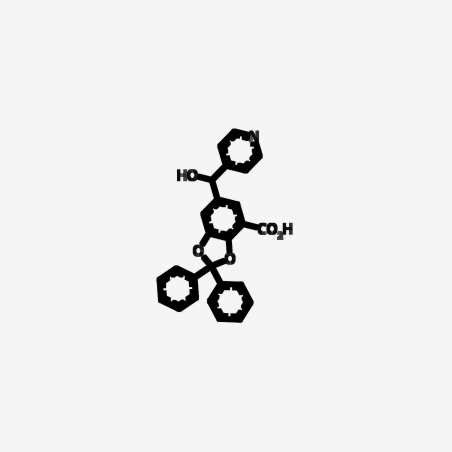 O=C(O)c1cc(C(O)c2ccncc2)cc2c1OC(c1ccccc1)(c1ccccc1)O2